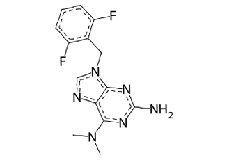 CN(C)c1nc(N)nc2c1ncn2Cc1c(F)cccc1F